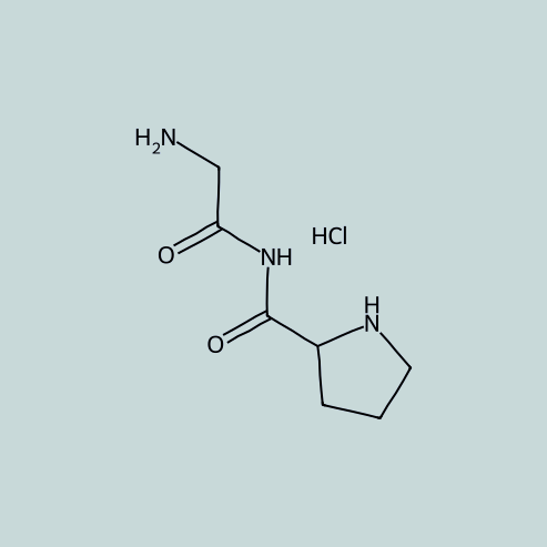 Cl.NCC(=O)NC(=O)C1CCCN1